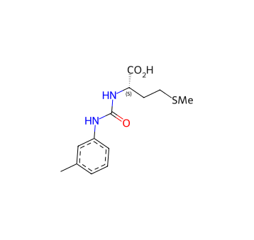 CSCC[C@H](NC(=O)Nc1cccc(C)c1)C(=O)O